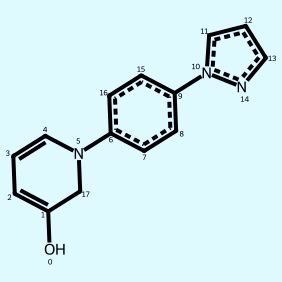 OC1=CC=CN(c2ccc(-n3cccn3)cc2)C1